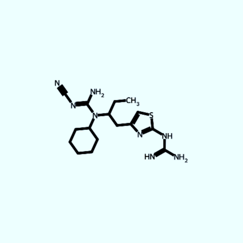 CCC(Cc1csc(NC(=N)N)n1)N(C(N)=NC#N)C1CCCCC1